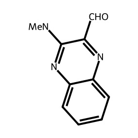 CNc1nc2ccccc2nc1C=O